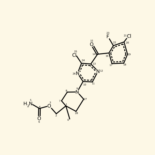 CC1(COC(N)=O)CCN(c2cnc(C(=O)c3cccc(Cl)c3F)c(Cl)n2)CC1